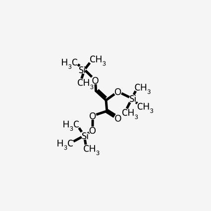 C[Si](C)(C)OC=C(O[Si](C)(C)C)C(=O)OO[Si](C)(C)C